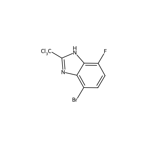 Fc1ccc(Br)c2nc(C(Cl)(Cl)Cl)[nH]c12